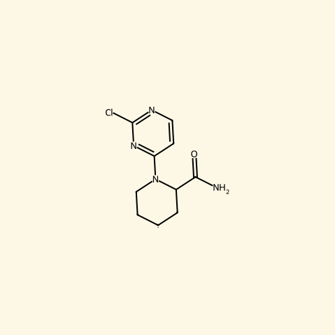 NC(=O)C1C[CH]CCN1c1ccnc(Cl)n1